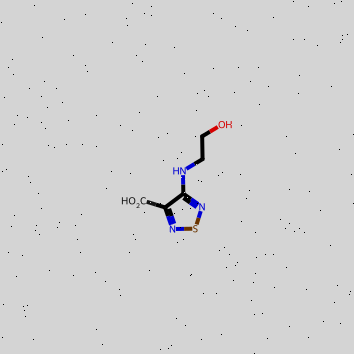 O=C(O)c1nsnc1NCCO